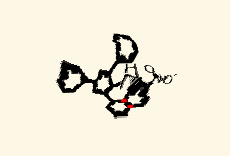 O=[N+]([O-])c1ccccc1Nc1c(-c2ccccc2)cc(-c2ccccc2)cc1-c1ccccc1